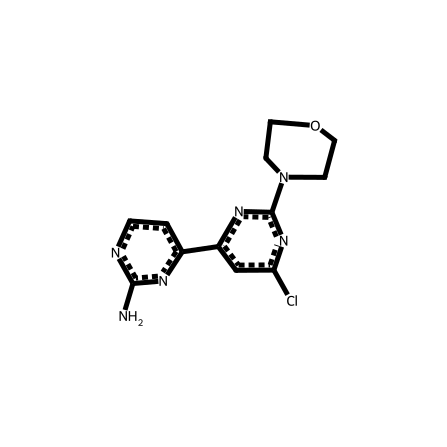 Nc1nccc(-c2cc(Cl)nc(N3CCOCC3)n2)n1